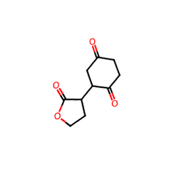 O=C1CCC(=O)C(C2CCOC2=O)C1